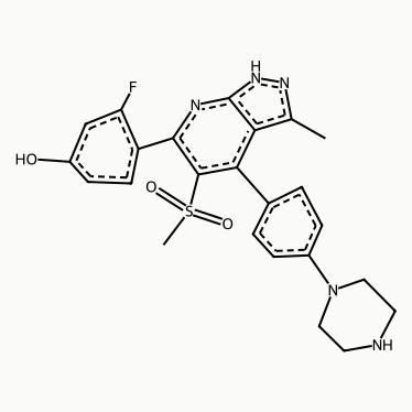 Cc1n[nH]c2nc(-c3ccc(O)cc3F)c(S(C)(=O)=O)c(-c3ccc(N4CCNCC4)cc3)c12